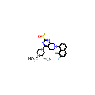 Cc1c(F)ccc2cccc(N3CCc4c(nc([S+](C)[O-])nc4N4CCN(C(=O)O)[C@@H](CC#N)C4)C3)c12